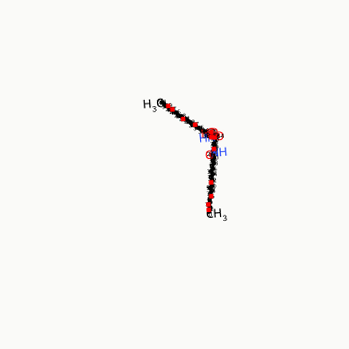 CCCCCCCCCCCCCCCCCCCCCC(=O)NCCCCC(NC(=O)CCCCCCCCCCCCCCCCCCCCC)C(=O)O